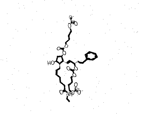 CCNC(=O)CCC/C=C\C[C@@H]1[C@@H](/C=C/[C@H](CCc2ccccc2)OC(=O)OCCCCO[N+](=O)[O-])[C@H](OC(=O)OCCCCO[N+](=O)[O-])C[C@@H]1O